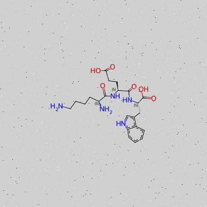 NCCCC[C@H](N)C(=O)N[C@@H](CCC(=O)O)C(=O)N[C@@H](Cc1c[nH]c2ccccc12)C(=O)O